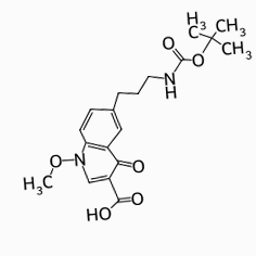 COn1cc(C(=O)O)c(=O)c2cc(CCCNC(=O)OC(C)(C)C)ccc21